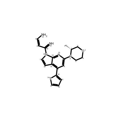 C[C@@H]1COCCN1c1cc(-c2cccs2)c2ccn(C(=N)/C=C\N)c2n1